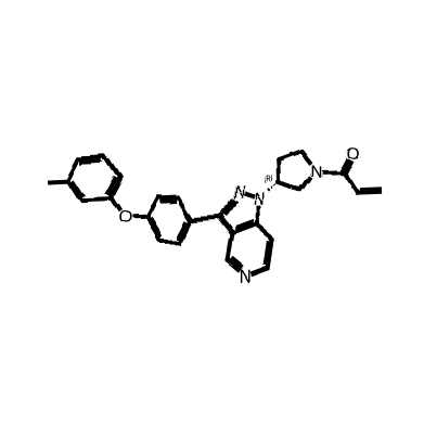 C=CC(=O)N1CC[C@@H](n2nc(-c3ccc(Oc4cccc(C)c4)cc3)c3cnccc32)C1